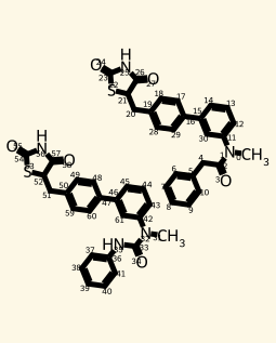 CN(C(=O)Cc1ccccc1)c1cccc(-c2ccc(CC3SC(=O)NC3=O)cc2)c1.CN(C(=O)Nc1ccccc1)c1cccc(-c2ccc(CC3SC(=O)NC3=O)cc2)c1